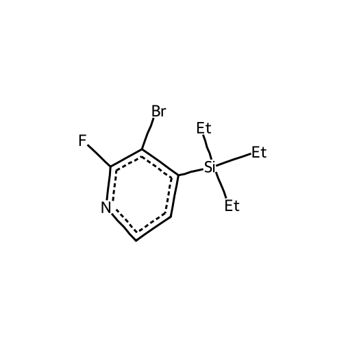 CC[Si](CC)(CC)c1ccnc(F)c1Br